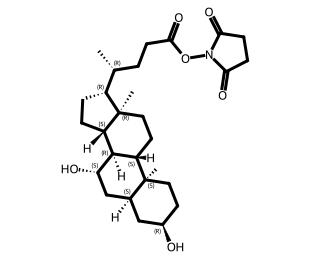 C[C@H](CCC(=O)ON1C(=O)CCC1=O)[C@H]1CC[C@H]2[C@@H]3[C@@H](O)C[C@@H]4C[C@H](O)CC[C@]4(C)[C@H]3CC[C@]12C